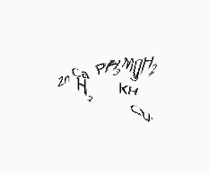 P.[CaH2].[Cu].[KH].[MgH2].[Zn]